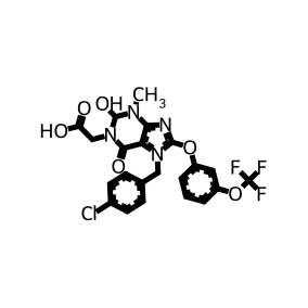 CN1c2nc(Oc3cccc(OC(F)(F)F)c3)n(Cc3ccc(Cl)cc3)c2C(=O)N(CC(=O)O)C1O